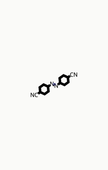 N#CC1CCC(/N=N/C2CCC(C#N)CC2)CC1